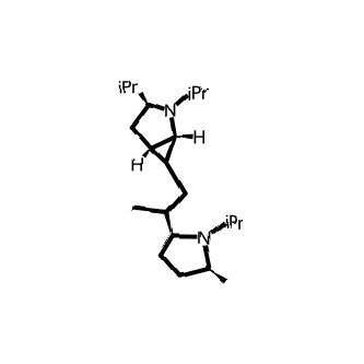 CC(C)[C@@H]1C[C@H]2C(CC(C)[C@@H]3CC[C@H](C)N3C(C)C)[C@H]2N1C(C)C